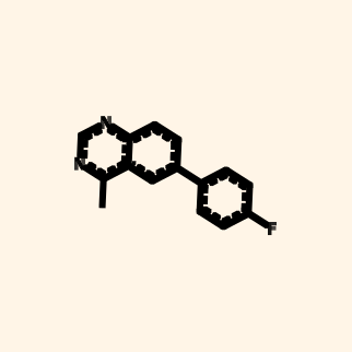 Cc1ncnc2ccc(-c3ccc(F)cc3)cc12